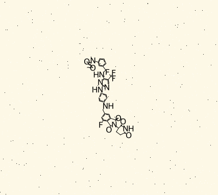 CN(c1cccc(CNc2nc(Nc3ccc(NCc4cc(F)c5c(c4)C(=O)N(C4CCC(=O)NC4=O)C5=O)cc3)ncc2C(F)(F)F)c1)S(C)(=O)=O